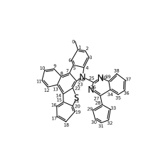 Cc1ccc2c(c1)c1c3ccccc3c3c4ccccc4sc3c1n2-c1nc(-c2ccccc2)c2ccccc2n1